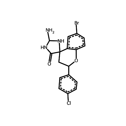 NC1NC(=O)C2(CC(c3ccc(Cl)cc3)Oc3ccc(Br)cc32)N1